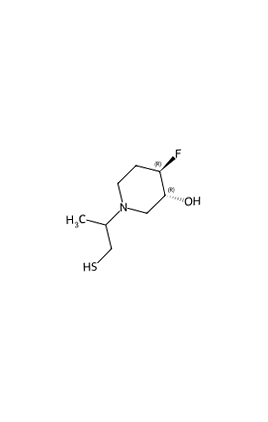 CC(CS)N1CC[C@@H](F)[C@H](O)C1